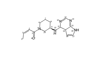 C/C=C\C(=O)N1CCC[C@@H](NC2N=CN=C3NC=CC32)C1